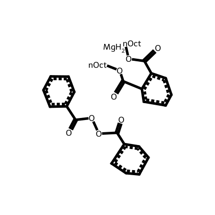 CCCCCCCCOC(=O)c1ccccc1C(=O)OCCCCCCCC.O=C(OOC(=O)c1ccccc1)c1ccccc1.[MgH2]